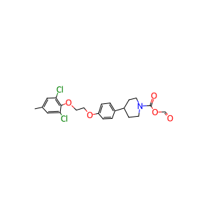 Cc1cc(Cl)c(OCCOc2ccc(C3CCN(C(=O)OC=O)CC3)cc2)c(Cl)c1